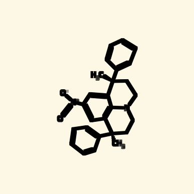 C[C@@]1(c2ccccc2)CCN2CC[C@@](C)(c3ccccc3)c3cc([N+](=O)[O-])cc1c32